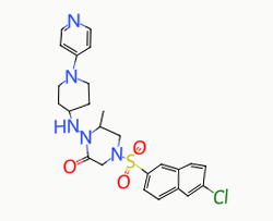 CC1CN(S(=O)(=O)c2ccc3cc(Cl)ccc3c2)CC(=O)N1NC1CCN(c2ccncc2)CC1